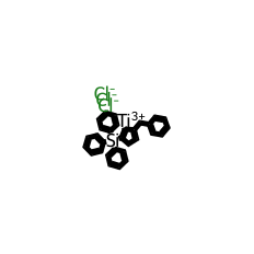 [Cl-].[Cl-].[Cl-].[Ti+3][C]1=C([Si](c2ccccc2)(c2ccccc2)c2ccccc2)CC=C1Cc1ccccc1